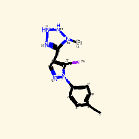 Cc1ccc(-n2ncc(C3=NNNN3C(C)C)c2I)cc1